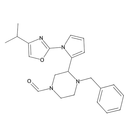 CC(C)c1coc(-n2cccc2C2CN(C=O)CCN2Cc2ccccc2)n1